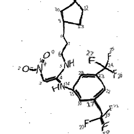 O=[N+]([O-])C=C(NCCCC1CCCC1)Nc1cc(C(F)(F)F)cc(C(F)(F)F)c1